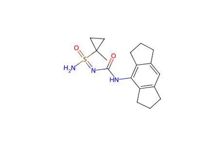 CC1(S(N)(=O)=NC(=O)Nc2c3c(cc4c2CCC4)CCC3)CC1